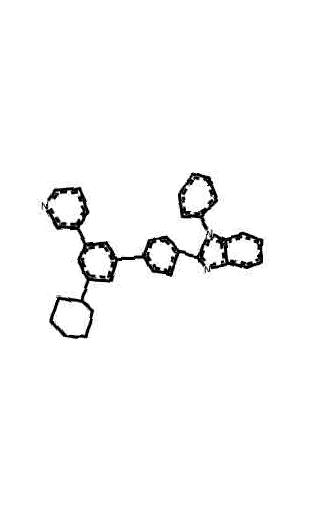 c1ccc(-n2c(-c3ccc(-c4cc(-c5cccnc5)cc(C5CCCCC5)c4)cc3)nc3ccccc32)cc1